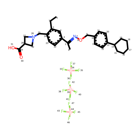 CCc1cc(C(C)=NOCc2ccc(C3CCCCC3)cc2)ccc1CN1CC(C(=O)O)C1.F[B-](F)(F)F.F[B-](F)(F)F.F[B-](F)(F)F